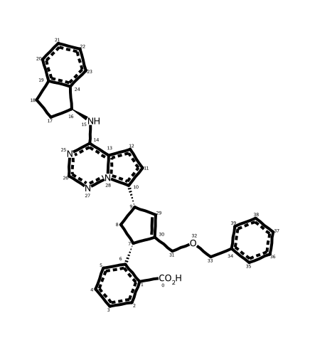 O=C(O)c1ccccc1[C@@H]1C[C@H](c2ccc3c(N[C@H]4CCc5ccccc54)ncnn23)C=C1COCc1ccccc1